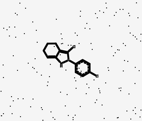 ClC1=C2CCCC=C2NN1c1ccc(Cl)cc1